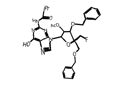 CC(=O)OC1C(n2cnc3c(O)nc(NC(=O)C(C)C)nc32)OC(CF)(COCc2ccccc2)C1OCc1ccccc1